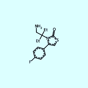 CCC(CC)(CN)n1c(-c2ccc(F)cc2)csc1=O